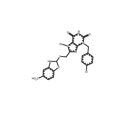 CCn1c(CSC2Nc3cc(C(=O)O)ccc3O2)nc2c1c(=O)[nH]c(=O)n2Cc1ccc(Cl)cc1